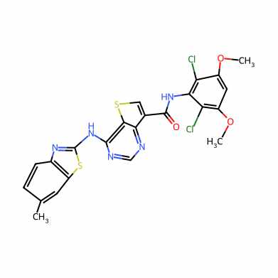 COc1cc(OC)c(Cl)c(NC(=O)c2csc3c(Nc4nc5ccc(C)cc5s4)ncnc23)c1Cl